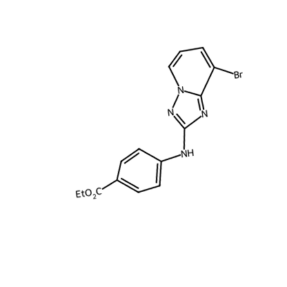 CCOC(=O)c1ccc(Nc2nc3c(Br)cccn3n2)cc1